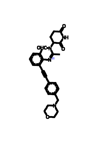 C/C(=N/c1c(C)cccc1C#Cc1ccc(CN2CCOCC2)cc1)N(C=O)C1CCC(=O)NC1=O